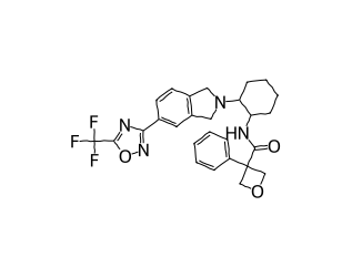 O=C(NC1CCCCC1N1Cc2ccc(-c3noc(C(F)(F)F)n3)cc2C1)C1(c2ccccc2)COC1